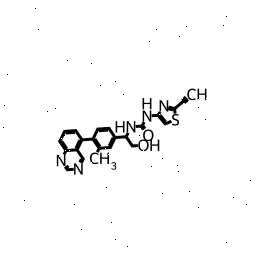 C#Cc1nc(NC(=O)NC(CO)c2ccc(-c3cccc4ncncc34)c(C)c2)cs1